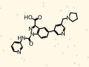 O=C(O)c1nn(C(=O)Nc2cccnc2)c2ccc(-c3cncc(CN4CCCC4)c3)cc12